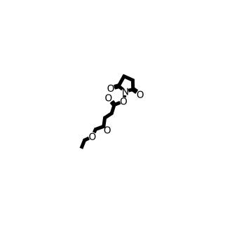 CCOCC(=O)CCC(=O)ON1C(=O)CCC1=O